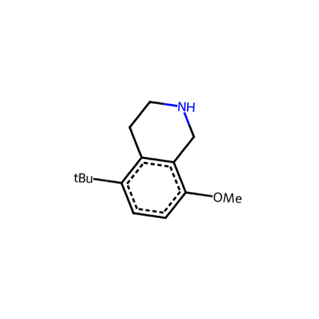 COc1ccc(C(C)(C)C)c2c1CNCC2